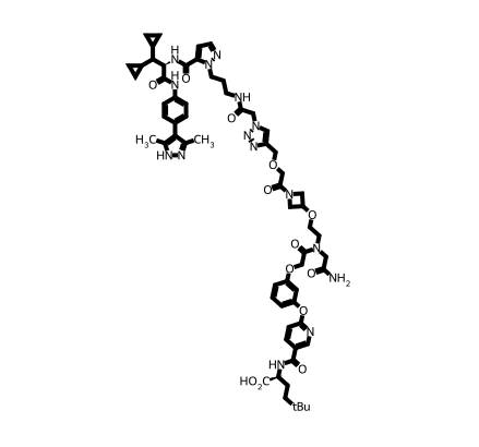 Cc1n[nH]c(C)c1-c1ccc(NC(=O)[C@@H](NC(=O)c2ccnn2CCCNC(=O)Cn2cc(COCC(=O)N3CC(OCCN(CC(N)=O)C(=O)COc4cccc(Oc5ccc(C(=O)N[C@@H](CCC(C)(C)C)C(=O)O)cn5)c4)C3)nn2)C(C2CC2)C2CC2)cc1